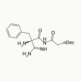 CCCCCCCCCCCC(=O)NC(=O)[C@@](N)(Cc1ccccc1)C(=N)N